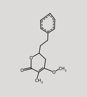 COC1=C(C)C(=O)OC(CCc2ccccc2)C1